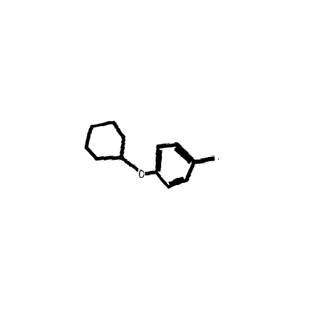 [CH2]c1ccc(OC2CCCCC2)cc1